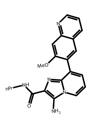 CCCNC(=O)c1nc2c(-c3cc4cccnc4cc3OC)cccn2c1N